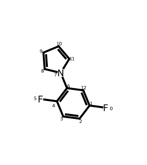 Fc1ccc(F)c(-n2cccc2)c1